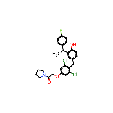 CC(c1ccc(F)cc1)c1cc(Cc2c(Cl)cc(OCC(=O)N3CCCC3)cc2Cl)ccc1O